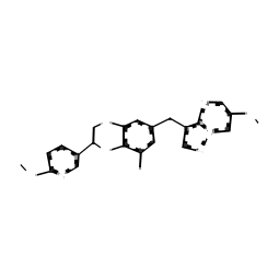 COc1cnc2c(Cc3cc(F)c4c(c3)OCC(c3ccc(OC)nc3)O4)cnn2c1